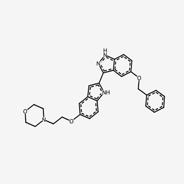 c1ccc(COc2ccc3[nH]nc(-c4cc5cc(OCCN6CCOCC6)ccc5[nH]4)c3c2)cc1